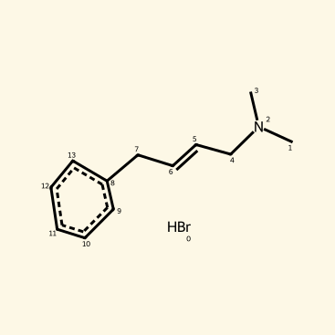 Br.CN(C)CC=CCc1ccccc1